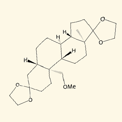 COC[C@]12CCC3(C[C@@H]1CC[C@@H]1[C@@H]2CC[C@@]2(C)[C@H]1CCC21OCCO1)OCCO3